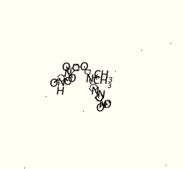 CC(C)N(CC1CCN(c2ccc([N+](=O)[O-])cn2)CC1)[C@H]1C[C@H](Oc2ccc3c(c2)C(=O)N(C2CCC(=O)NC2=O)C3=O)C1